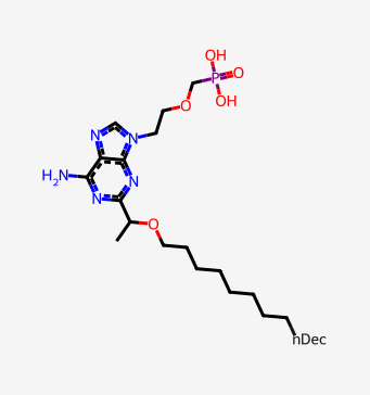 CCCCCCCCCCCCCCCCCCOC(C)c1nc(N)c2ncn(CCOCP(=O)(O)O)c2n1